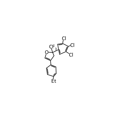 [CH2]Cc1ccc(C2=COC(c3cc(Cl)c(Cl)c(Cl)c3)(C(F)(F)F)C2)cc1